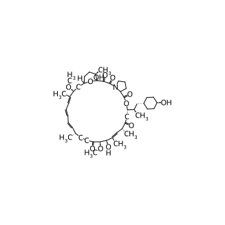 CO[C@H]1C[C@@H]2CC[C@@H](C)[C@@](O)(O2)C(=O)C(=O)N2CCCC2C(=O)O[C@H]([C@H](C)C[C@H]2CC[C@H](O)CC2)CC(=O)[C@H](C)/C=C(\C)[C@@H](O)[C@@H](OC)C(=O)CC[C@H](C)/C=C/C=C/C=C/1C